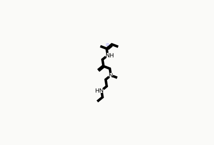 C=C(CN/C(C)=C\C)CN(C)CCNCC